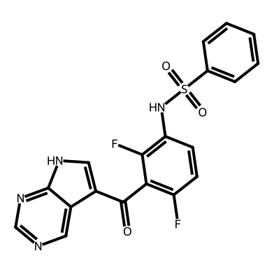 O=C(c1c(F)ccc(NS(=O)(=O)c2ccccc2)c1F)c1c[nH]c2ncncc12